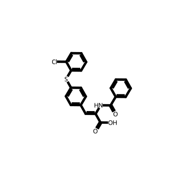 O=C(O)/C(=C/c1ccc(Sc2ccccc2Cl)cc1)NC(=O)c1ccccc1